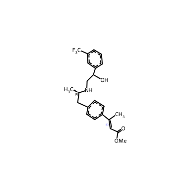 COC(=O)/C=C(\C)c1ccc(C[C@@H](C)NCC(O)c2cccc(C(F)(F)F)c2)cc1